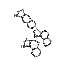 c1ccc2c(c1)ccc1[nH]cnc12.c1ccc2c(c1)ccc1nc[nH]c12.c1ccc2cc3[nH]cnc3cc2c1